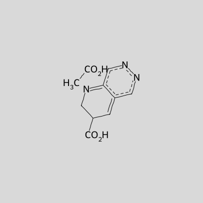 CC(=O)O.O=C(O)C1C=c2cnncc2=NC1